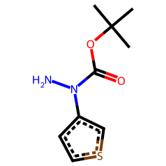 CC(C)(C)OC(=O)N(N)c1ccsc1